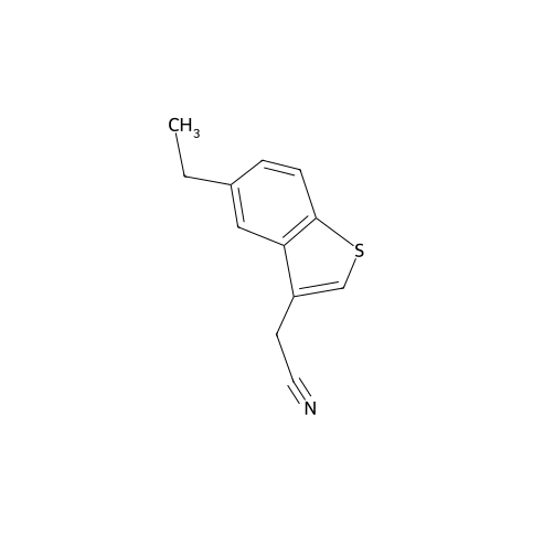 CCc1ccc2scc(CC#N)c2c1